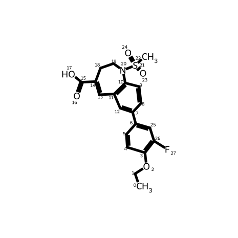 CCOc1ccc(-c2ccc3c(c2)C=C(C(=O)O)CCN3S(C)(=O)=O)cc1F